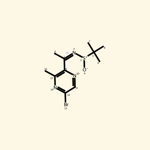 C/C(=N/[S+]([O-])C(C)(C)C)c1ncc(Br)nc1C